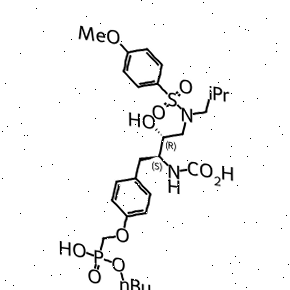 CCCCOP(=O)(O)COc1ccc(C[C@H](NC(=O)O)[C@H](O)CN(CC(C)C)S(=O)(=O)c2ccc(OC)cc2)cc1